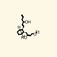 C=CCC(O)/C=C/[C@H]1[C@@H](C/C(O)=C\COCC)[C@H]2CC[C@@H]1O2